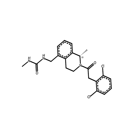 CNC(=O)NCc1cccc2c1CCN(C(=O)Cc1c(Cl)cccc1Cl)[C@H]2C